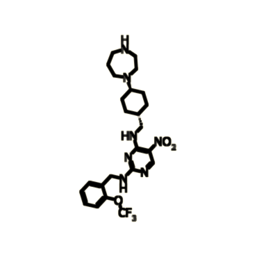 O=[N+]([O-])c1cnc(NCc2ccccc2OC(F)(F)F)nc1NC[C@H]1CC[C@H](N2CCCNCC2)CC1